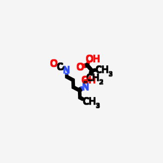 C=C(C)C(=O)O.CCC(CCCN=C=O)=NO